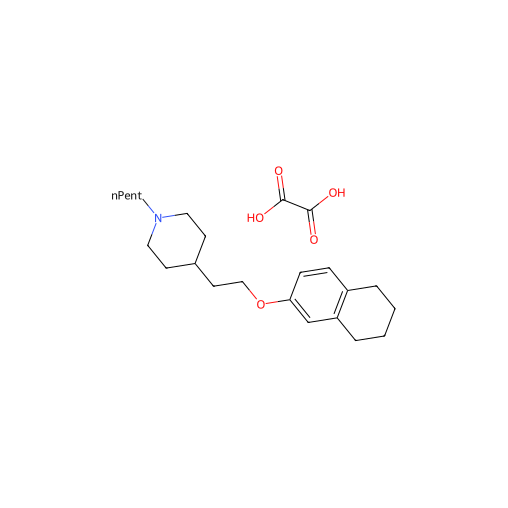 CCCCCN1CCC(CCOc2ccc3c(c2)CCCC3)CC1.O=C(O)C(=O)O